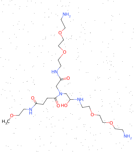 COCCNC(=O)CCC(=O)N(CC(=O)NCCOCCOCCN)CC(O)NCCOCCOCCN